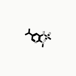 COc1ncc(C(C)C)cc1NS(C)(=O)=O